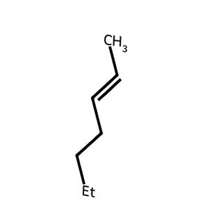 [CH2]CCCC=CC